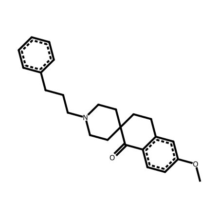 COc1ccc2c(c1)CCC1(CCN(CCCc3ccccc3)CC1)C2=O